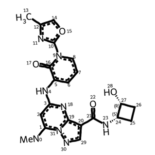 CNc1cc(Nc2cccn(-c3nc(C)co3)c2=O)nc2c(C(=O)N[C@H]3CC[C@H]3O)cnn12